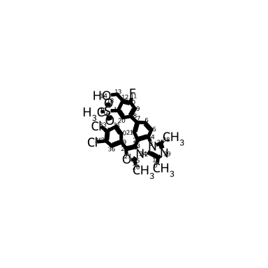 Cc1cn(-c2ccc(-c3cc(F)c(CO)c(S(C)(=O)=O)c3)cc2-c2nc(C)oc2-c2ccc(Cl)c(Cl)c2)c(C)n1